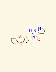 Nc1ncccc1C(=O)NCc1cc(Oc2ccccc2)c(Br)s1